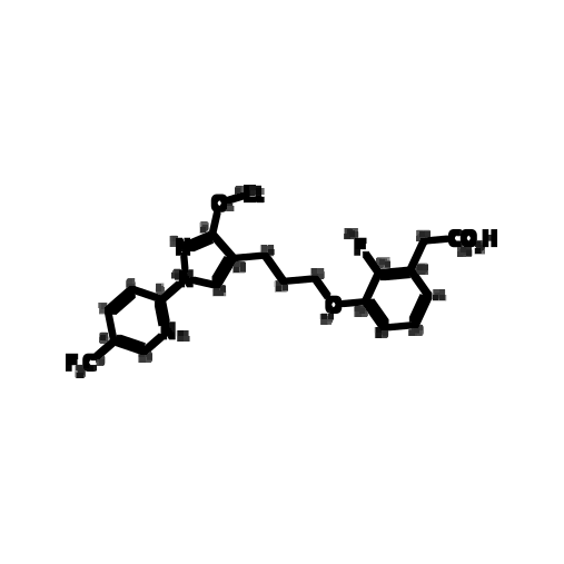 CCOc1nn(-c2ccc(C(F)(F)F)cn2)cc1CCCOc1cccc(CC(=O)O)c1F